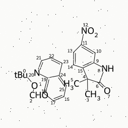 CC(C)(C)OC=O.CC1(C)C(=O)Nc2cc([N+](=O)[O-])ccc21.c1ccc2ncccc2c1